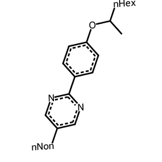 CCCCCCCCCc1cnc(-c2ccc(OC(C)CCCCCC)cc2)nc1